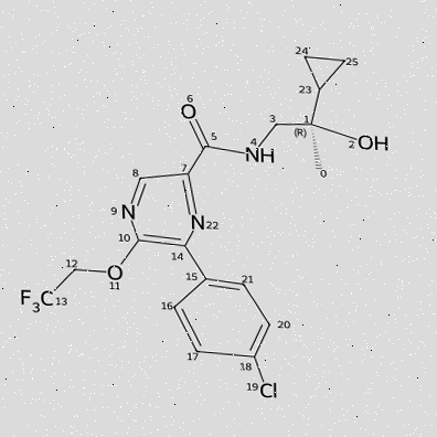 C[C@](O)(CNC(=O)c1cnc(OCC(F)(F)F)c(-c2ccc(Cl)cc2)n1)C1CC1